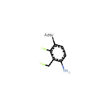 CC(=O)Nc1ccc(N)c(CF)c1F